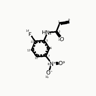 C=CC(=O)Nc1cc([N+](=O)[O-])ccc1F